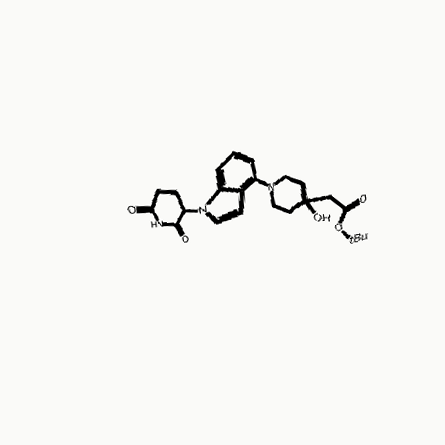 CC(C)(C)OC(=O)CC1(O)CCN(c2cccc3c2ccn3C2CCC(=O)NC2=O)CC1